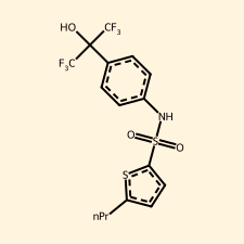 CCCc1ccc(S(=O)(=O)Nc2ccc(C(O)(C(F)(F)F)C(F)(F)F)cc2)s1